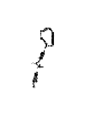 CC#C[Si](C)(C)C#Cc1ccccc1